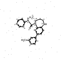 Cc1cc(-c2ccc3c(n2)N(C(=O)Nc2ccncn2)[C@H](C)CCN3)ccn1